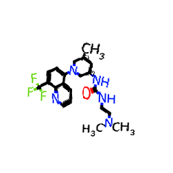 C[C@H]1C[C@@H](NC(=O)NCCN(C)C)CN(c2ccc(C(F)(F)F)c3ncccc23)C1